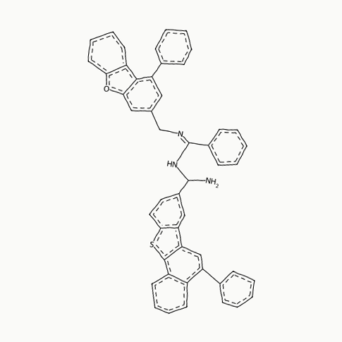 NC(N/C(=N\Cc1cc(-c2ccccc2)c2c(c1)oc1ccccc12)c1ccccc1)c1ccc2sc3c4ccccc4c(-c4ccccc4)cc3c2c1